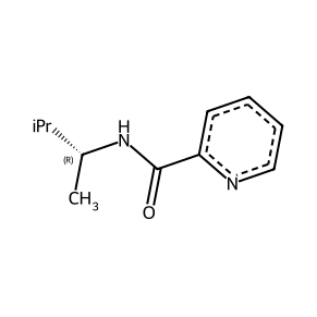 CC(C)[C@@H](C)NC(=O)c1ccccn1